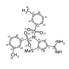 CSc1sc(C(=N)N)cc1N(S(=O)(=O)c1cccc(C)c1)S(=O)(=O)c1cccc(C)c1